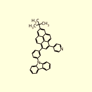 CC(C)(C)c1cc2ccc3c(-c4ccncc4)cc(-c4cccc(-n5c6ccccc6c6ccccc65)c4)c4ccc(c1)c2c34